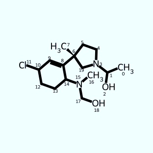 CC(O)N1CC[C@@](C)(C2=CC(Cl)CCC2N(C)CO)C1